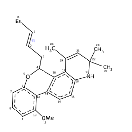 CC/C=C/CC1Oc2cccc(OC)c2-c2ccc3c(c21)C(C)=CC(C)(C)N3